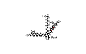 CCCCCC(O)C(CCCCCCCCCCO)(CCCCCCCCCCCCO)C(CCCCCCCCO)(CCCCCCCCCCO)CCCCCCCCCCC(C)O